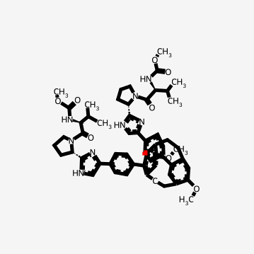 COC(=O)N[C@H](C(=O)N1CCC[C@H]1c1nc(-c2ccc(-c3cc4c(OC)cc3CCc3cc(-c5ccc(-c6c[nH]c([C@@H]7CCCN7C(=O)[C@@H](NC(=O)OC)C(C)C)n6)cc5)c(cc3OC)CC4)cc2)c[nH]1)C(C)C